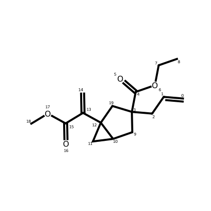 C=CCC1(C(=O)OCC)CC2CC2(C(=C)C(=O)OC)C1